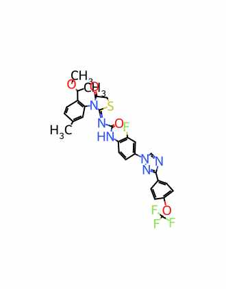 COC(C)c1ccc(C)cc1N1C(=O)CSC1=NC(=O)Nc1ccc(-n2cnc(-c3ccc(OC(F)(F)F)cc3)n2)cc1F